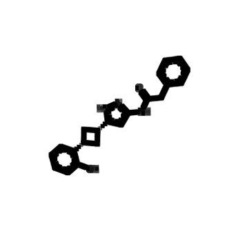 O=C(Cc1ccccc1)Nc1cc([C@H]2C[C@@H](c3ccccc3O)C2)[nH]n1